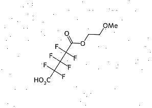 COCCOC(=O)C(F)(F)C(F)(F)C(F)(F)C(=O)O